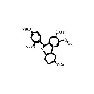 CCOc1cc2c(cc1OC)C(c1ccc(OC)nc1OC)=NC1CCC(OC(C)=O)CC21